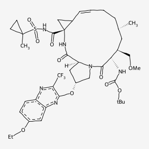 CCOc1ccc2nc(C(F)(F)F)c(O[C@@H]3C[C@H]4C(=O)N[C@]5(C(=O)NS(=O)(=O)C6(C)CC6)CC5/C=C\CC[C@H](C)C[C@@H](COC)[C@H](NC(=O)OC(C)(C)C)C(=O)N4C3)nc2c1